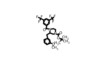 COc1cccc(CC2CN(C(=O)OC(C)(C)C)CCN2C(=O)c2cc(C(F)(F)F)cc(C(F)(F)F)c2)c1